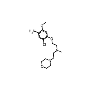 COc1cc(OCCN(C)CCN2CCOCC2)c(Cl)cc1N